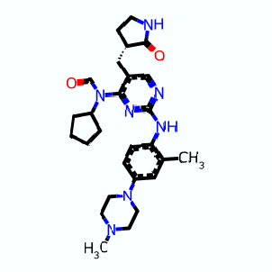 Cc1cc(N2CCN(C)CC2)ccc1Nc1ncc(C[C@@H]2CCNC2=O)c(N(C=O)C2CCCC2)n1